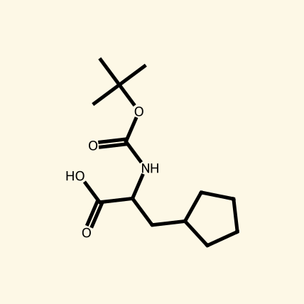 CC(C)(C)OC(=O)NC(CC1CCCC1)C(=O)O